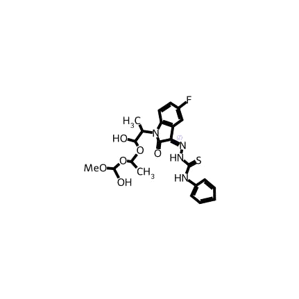 COC(O)OC(C)OC(O)C(C)N1C(=O)/C(=N\NC(=S)Nc2ccccc2)c2cc(F)ccc21